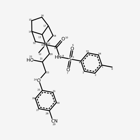 Cc1ccc(S(=O)(=O)NC(=O)N(C)C2C3CCC2CN(CC(O)COc2ccc(C#N)cc2)C3)cc1